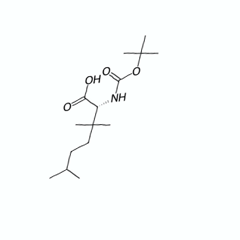 CC(C)CCC(C)(C)[C@@H](NC(=O)OC(C)(C)C)C(=O)O